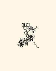 C=CCCCCCNC(=O)N1C[C@H](Oc2cc(-c3nc(C(C)C)cs3)nc3c(Cl)c(OC)ccc23)C[C@H]1C(=O)N[C@]1(C(=O)NS(=O)(=O)C2(C)CC2)C[C@H]1C